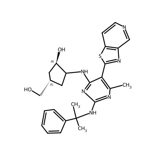 Cc1nc(NC(C)(C)c2ccccc2)nc(NC2C[C@H](CO)C[C@H]2O)c1-c1nc2cnccc2s1